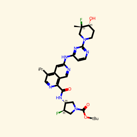 CC(C)c1cnc(C(=O)N[C@@H]2CN(C(=O)OC(C)(C)C)C[C@H]2F)c2cnc(Nc3ccnc(N4CC[C@@H](O)[C@@](C)(F)C4)n3)cc12